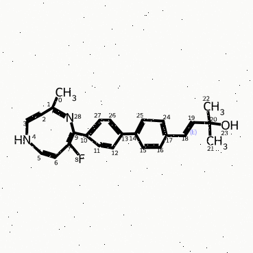 Cc1cc[nH]ccc(F)c(-c2ccc(-c3ccc(/C=C/C(C)(C)O)cc3)cc2)n1